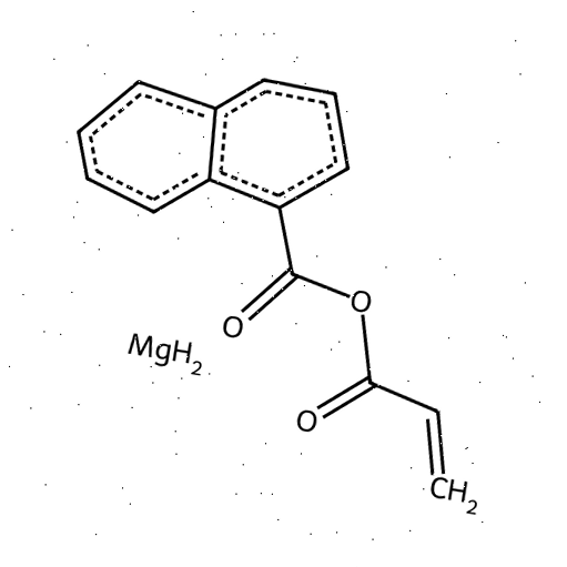 C=CC(=O)OC(=O)c1cccc2ccccc12.[MgH2]